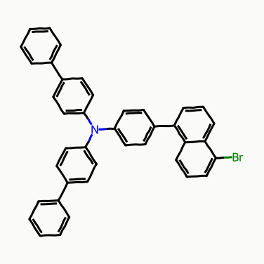 Brc1cccc2c(-c3ccc(N(c4ccc(-c5ccccc5)cc4)c4ccc(-c5ccccc5)cc4)cc3)cccc12